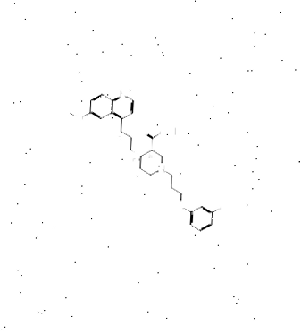 COc1ccc2nccc([C@@H](F)CC[C@@H]3CCN(CCCSc4cccc(Cl)c4)C[C@@H]3C(=O)O)c2c1